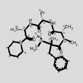 CC(=O)N(C)C(C)(Cc1ccccc1)C(=O)N(C)[C@@H](C)C(=O)N[C@H](C(=O)N[C@@H](C)C(=O)N1CCCCC1)C(C)C